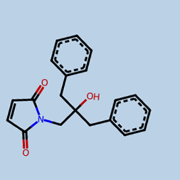 O=C1C=CC(=O)N1CC(O)(Cc1ccccc1)Cc1ccccc1